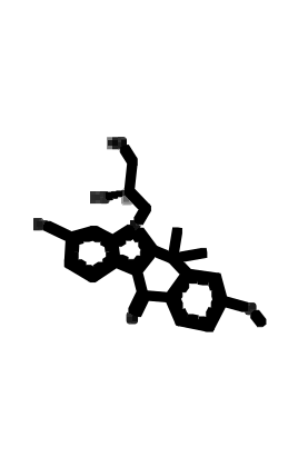 COc1ccc2c(c1)C(C)(C)c1c(c3ccc(Br)cc3n1C[C@H](O)CO)C2=O